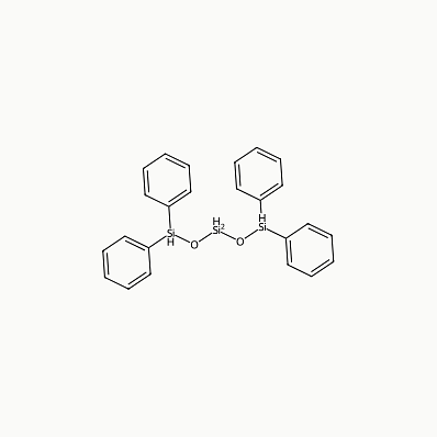 c1ccc([SiH](O[SiH2]O[SiH](c2ccccc2)c2ccccc2)c2ccccc2)cc1